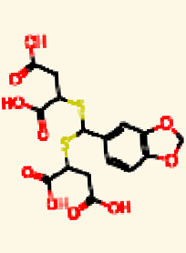 O=C(O)CC(SC(SC(CC(=O)O)C(=O)O)c1ccc2c(c1)OCO2)C(=O)O